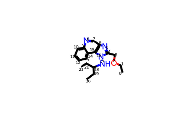 CCOCc1nc2cnc3ccccc3c2n1NC(CC)CC